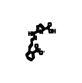 O=C(O)c1csc(NN=CC=Cc2ccccc2[N+](=O)[O-])n1